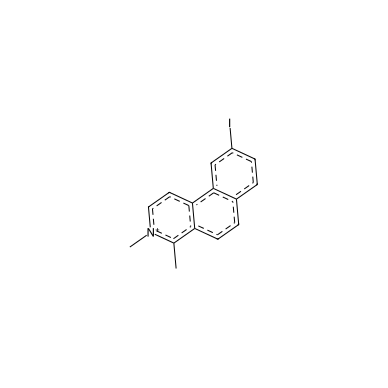 Cc1c2ccc3ccc(I)cc3c2cc[n+]1C